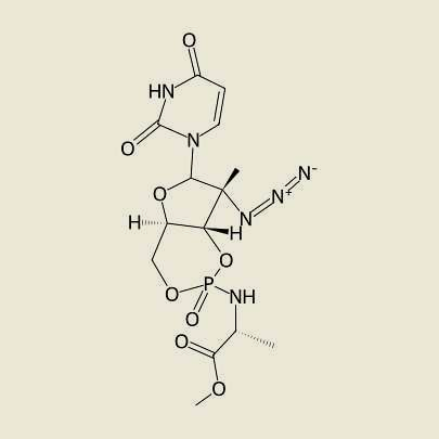 COC(=O)[C@@H](C)NP1(=O)OC[C@H]2OC(n3ccc(=O)[nH]c3=O)[C@](C)(N=[N+]=[N-])[C@@H]2O1